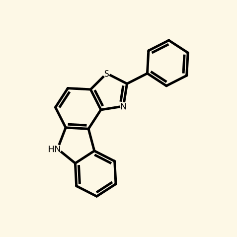 c1ccc(-c2nc3c(ccc4[nH]c5ccccc5c43)s2)cc1